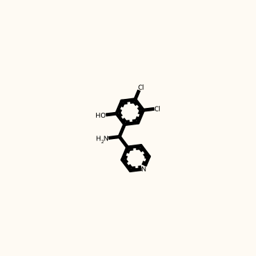 NC(c1ccncc1)c1cc(Cl)c(Cl)cc1O